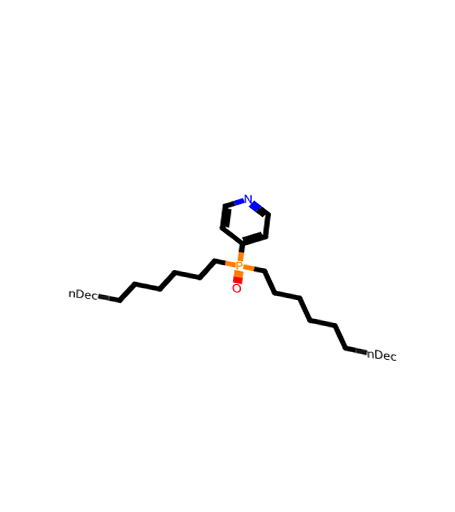 CCCCCCCCCCCCCCCCP(=O)(CCCCCCCCCCCCCCCC)c1ccncc1